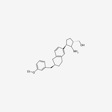 CCOc1cccc(C[C@@H]2CCc3cc([C@H]4CC[C@H](CO)C4N)ccc3C2)c1